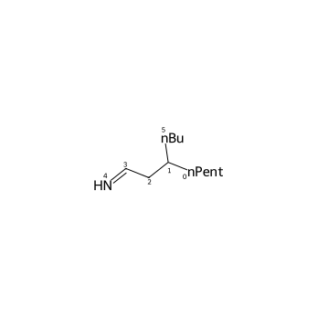 CCCCCC(CC=N)CCCC